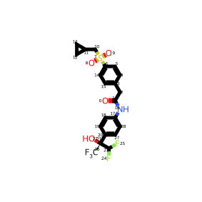 O=C(Cc1ccc(S(=O)(=O)CC2CC2)cc1)Nc1ccc([C@](O)(C(F)F)C(F)(F)F)cc1